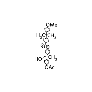 COc1ccc(C(C)(C)c2cc[c]([Co](=[O])[O]c3ccc(C(C)(CCO)c4ccc(OC(C)=O)cc4)cc3)cc2)cc1